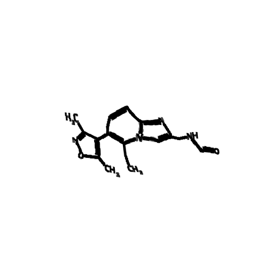 Cc1noc(C)c1-c1ccc2nc(NC=O)cn2c1C